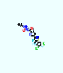 CCNC(=O)N1CC2(C1)OCc1cc(C3=NSC(c4cc(Cl)c(F)c(Cl)c4)(C(F)(F)F)C3)cnc12